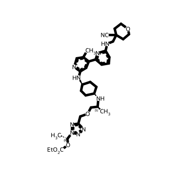 CCOC(=O)O[C@H](C)n1nnc(COC[C@H](C)N[C@H]2CC[C@H](Nc3cc(-c4cccc(NCC5(C#N)CCOCC5)n4)c(C)cn3)CC2)n1